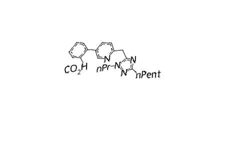 CCCCCc1nc(Cc2ccc(-c3ccccc3C(=O)O)cn2)n(CCC)n1